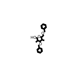 CC1C(O)OC(COCc2ccccc2)C(C)C1OCc1ccccc1